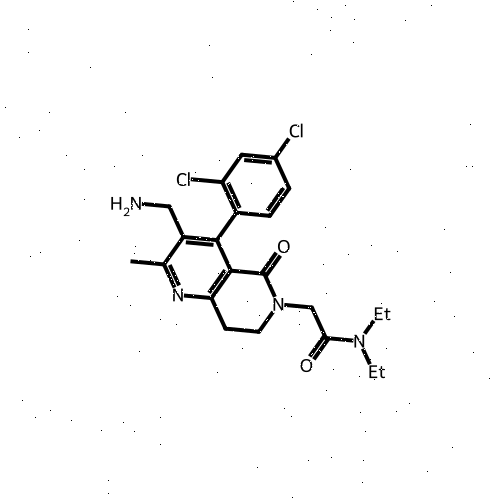 CCN(CC)C(=O)CN1CCc2nc(C)c(CN)c(-c3ccc(Cl)cc3Cl)c2C1=O